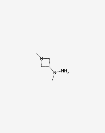 CN1CC(N(C)N)C1